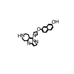 Oc1ccc2ccc(OC3CN(c4c5c(nc6ccnn46)CCNCC5)C3)cc2c1